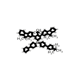 CC(C)(C)c1ccc(-c2ccc(N(c3ccc(-c4ccccc4)cc3)c3cc(-c4ccc5c(c4)C(C)(C)c4ccccc4-5)c(C(C)(C)C)c(-c4ccc5c(c4)C(C)(C)c4ccccc4-5)c3)cc2)cc1